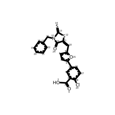 O=C(O)c1cc(-c2ccc(/C=C3/SC(=S)N(Cc4ccccc4)C3=O)o2)ccc1Cl